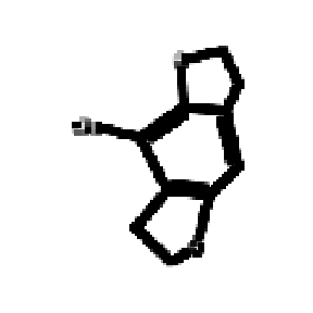 CC(C)(C)c1c2c(cc3c1OCC3)OCC2